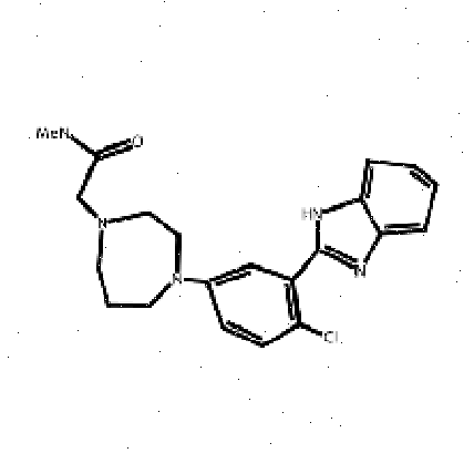 CNC(=O)CN1CCCN(c2ccc(Cl)c(-c3nc4ccccc4[nH]3)c2)CC1